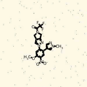 COc1cc(-n2cc3c(n2)CN(C(=O)C(F)(F)F)C3)c(-c2cnn(C)c2)cc1[N+](=O)[O-]